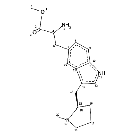 COC(=O)C(N)Cc1ccc2[nH]cc(C[C@H]3CCCN3C)c2c1